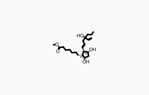 C=CC(O)(CC=C[C@@H]1[C@@H](CCCCCCC(=O)OC)[C@H](O)C[C@H]1O)CCC